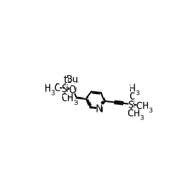 CC(C)(C)[Si](C)(C)OCc1ccc(C#C[Si](C)(C)C)nc1